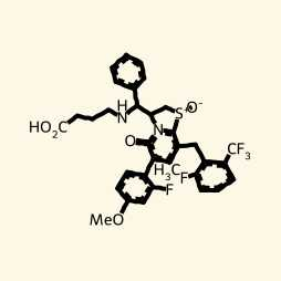 COc1ccc(-c2c(C)c(Cc3c(F)cccc3C(F)(F)F)c3n(c2=O)C(C(NCCCC(=O)O)c2ccccc2)C[S+]3[O-])c(F)c1